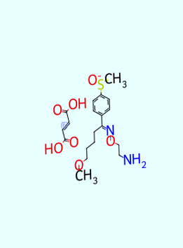 COCCCCC(=NOCCN)c1ccc([S+](C)[O-])cc1.O=C(O)/C=C/C(=O)O